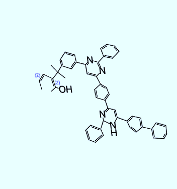 C/C=C\C(=C(/C)O)C(C)(C)c1cccc(-c2cc(-c3ccc(C4=NC(c5ccccc5)NC(c5ccc(-c6ccccc6)cc5)=C4)cc3)nc(-c3ccccc3)n2)c1